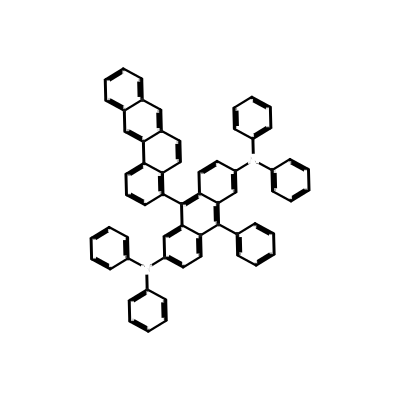 c1ccc(-c2c3cc(N(c4ccccc4)c4ccccc4)ccc3c(-c3cccc4c3ccc3cc5ccccc5cc34)c3cc(N(c4ccccc4)c4ccccc4)ccc23)cc1